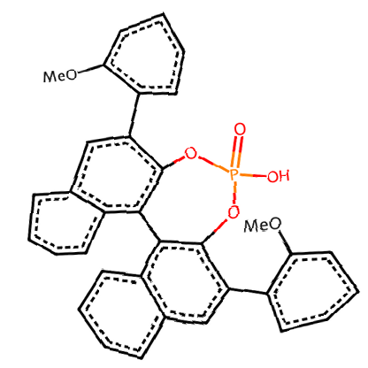 COc1ccccc1-c1cc2ccccc2c2c1OP(=O)(O)Oc1c(-c3ccccc3OC)cc3ccccc3c1-2